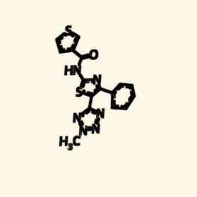 Cn1nnc(-c2sc(NC(=O)c3ccsc3)nc2-c2ccccc2)n1